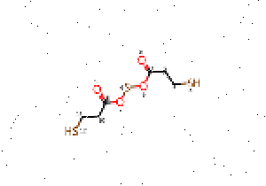 O=C(CCS)OSOC(=O)CCS